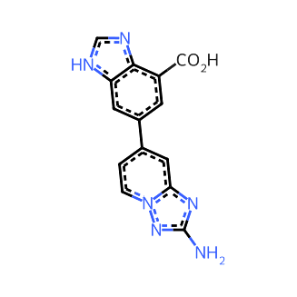 Nc1nc2cc(-c3cc(C(=O)O)c4nc[nH]c4c3)ccn2n1